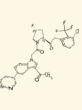 CC(=O)c1cn(CC(=O)N2C[C@H](F)C[C@H]2C(=O)Cc2cccc(Cl)c2C(F)(F)F)c2ccc(-c3ccnnc3)cc12